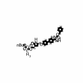 CCCCOC(=O)OC(C)OC(=O)C[C@@H]1C[C@@H](COc2ccc(-c3ccc(C(=N)NC(=O)OCc4ccccc4)cc3)cc2)NC1=O